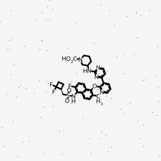 Cc1ccc2c(NS(=O)(=O)C[C@@H]3CCC3(F)F)c(F)ccc2c1Oc1ncccc1-c1ccnc(NC2CCCN(C(=O)O)C2)n1